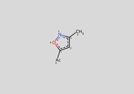 CC(=O)c1cc(C)no1